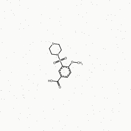 COc1ccc(C(=O)O)cc1S(=O)(=O)N1CCSCC1